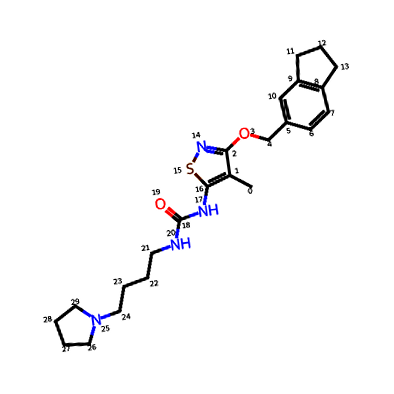 Cc1c(OCc2ccc3c(c2)CCC3)nsc1NC(=O)NCCCCN1CCCC1